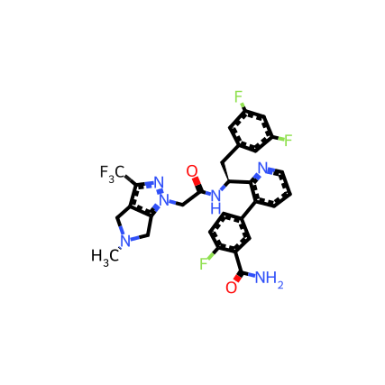 CN1Cc2c(C(F)(F)F)nn(CC(=O)N[C@@H](Cc3cc(F)cc(F)c3)c3ncccc3-c3ccc(F)c(C(N)=O)c3)c2C1